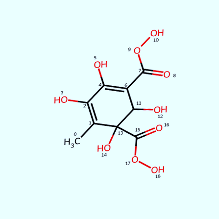 CC1=C(O)C(O)=C(C(=O)OO)C(O)C1(O)C(=O)OO